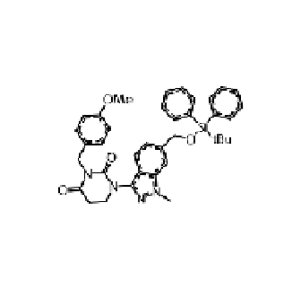 COc1ccc(CN2C(=O)CCN(c3nn(C)c4cc(CO[Si](c5ccccc5)(c5ccccc5)C(C)(C)C)ccc34)C2=O)cc1